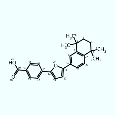 CC1(C)CCC(C)(C)c2cc(-c3ccc(-c4ccc(C(=O)O)cc4)o3)ccc21